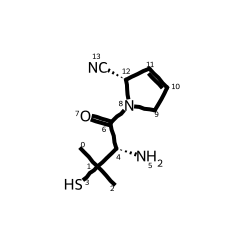 CC(C)(S)[C@@H](N)C(=O)N1CC=C[C@H]1C#N